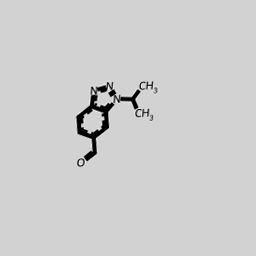 CC(C)n1nnc2ccc(C=O)cc21